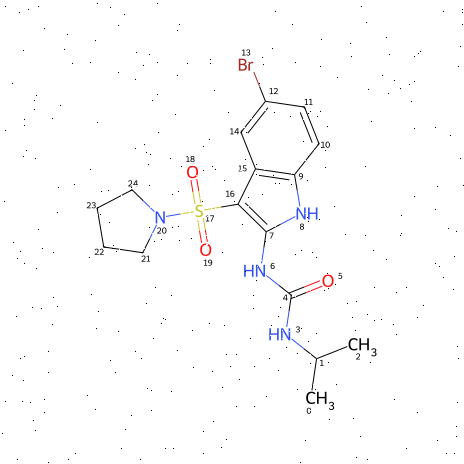 CC(C)NC(=O)Nc1[nH]c2ccc(Br)cc2c1S(=O)(=O)N1CCCC1